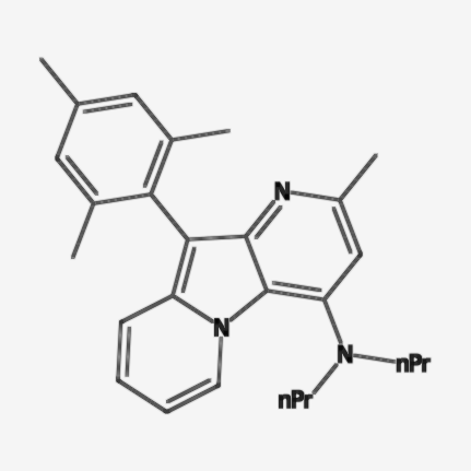 CCCN(CCC)c1cc(C)nc2c(-c3c(C)cc(C)cc3C)c3ccccn3c12